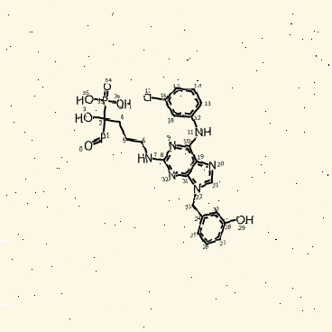 O=PC(O)(CCCNc1nc(Nc2cccc(Cl)c2)c2ncn(Cc3cccc(O)c3)c2n1)P(=O)(O)O